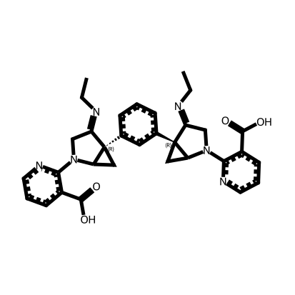 CCN=C1CN(c2ncccc2C(=O)O)C2C[C@]12c1cccc([C@]23CC2N(c2ncccc2C(=O)O)CC3=NCC)c1